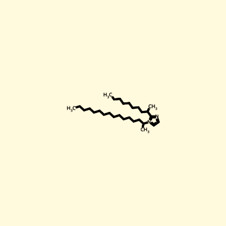 CCCCCCCCCCCCCCC(C)n1ccnc1C(C)CCCCCCCC